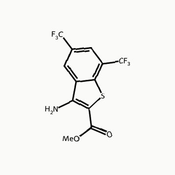 COC(=O)c1sc2c(C(F)(F)F)cc(C(F)(F)F)cc2c1N